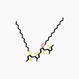 CCCCCCCCCCCCCCOc1cc(-c2cc(C)c(-c3sc(C)cc3SCCCCCCCCCCCCCC)s2)sc1-c1sc(C)cc1C